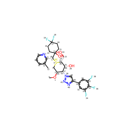 CO[C@H]1C[SH]([C@H](c2ncccc2C)C2(O)CCC(F)(F)CC2)[C@H](CO)[C@H](O)[C@@H]1n1cc(-c2cc(F)c(F)c(F)c2)nn1